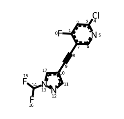 Fc1cc(Cl)ncc1C#Cc1cnn(C(F)F)c1